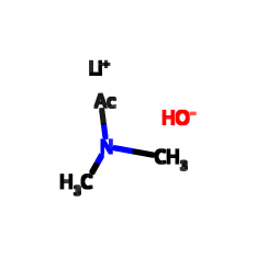 CC(=O)N(C)C.[Li+].[OH-]